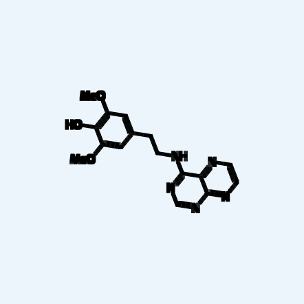 COc1cc(CCNc2ncnc3nccnc23)cc(OC)c1O